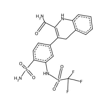 NC(=O)C1=C(c2ccc(S(N)(=O)=O)c(NS(=O)(=O)C(F)(F)F)c2)Cc2ccccc2N1